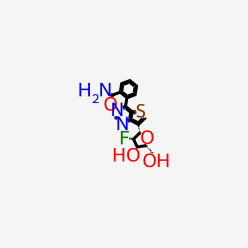 NC(=O)c1ccccc1-c1ncnc2c([C@@H]3O[C@H](CO)[C@@H](O)[C@H]3F)csc12